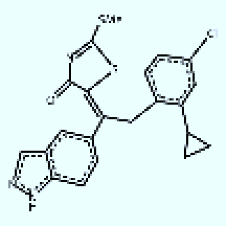 CSC1=NC(=O)C(=C(Cc2ccc(Cl)cc2C2CC2)c2ccc3[nH]ncc3c2)S1